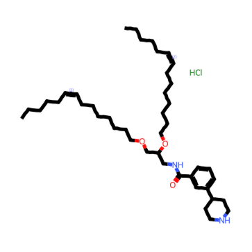 CCCCC/C=C\CCCCCCCOCC(CNC(=O)c1cccc(C2CCNCC2)c1)OCCCCCCC/C=C\CCCCC.Cl